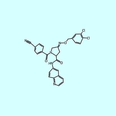 N#Cc1ccc(C(=O)N2CC(=NOCc3ccc(Cl)c(Cl)c3)CC2C(=O)Nc2ccc3ncccc3c2)cc1